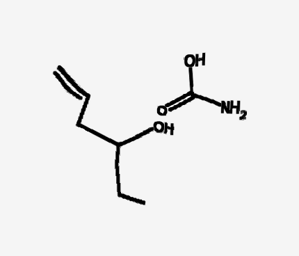 C=CCC(O)CC.NC(=O)O